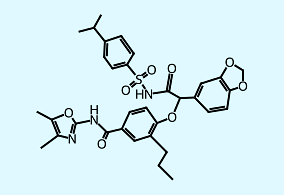 CCCc1cc(C(=O)Nc2nc(C)c(C)o2)ccc1OC(C(=O)NS(=O)(=O)c1ccc(C(C)C)cc1)c1ccc2c(c1)OCO2